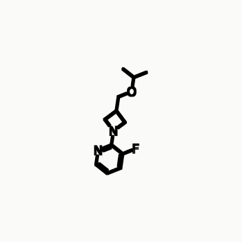 CC(C)OCC1CN(c2ncccc2F)C1